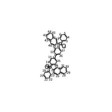 O=P(c1ccccc1)(c1ccc(-c2ccc(P(=O)(c3ccccc3)c3ccc4ccccc4c3)cc2)cc1)c1ccc2ccccc2c1